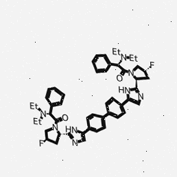 CCN(CC)[C@@H](C(=O)N1C[C@H](F)C[C@H]1c1ncc(-c2ccc(-c3ccc(-c4cnc([C@@H]5C[C@@H](F)CN5C(=O)[C@@H](c5ccccc5)N(CC)CC)[nH]4)cc3)cc2)[nH]1)c1ccccc1